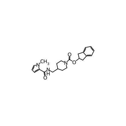 Cn1cccc1C(=O)NCC1CCN(C(=O)OC2Cc3ccccc3C2)CC1